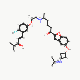 CC(CCCC(=O)c1cc2cc(O[C@H]3C[C@@H](NC(C)C)C3)ccc2o1)NC[C@@H](C)Oc1ccc(F)c(/C=C/C(=O)C(C)C)c1